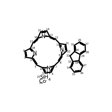 C1=Cc2cc3ccc(cc4nc(cc5ccc(cc1n2)[nH]5)C=C4)[nH]3.[Co].[SiH4].c1ccc2c(c1)Cc1ccccc1-2